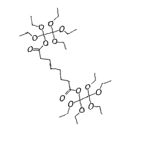 CCOC(OCC)(OCC)C(OCC)(OCC)OC(=O)CCCCCCC(=O)OC(OCC)(OCC)C(OCC)(OCC)OCC